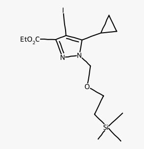 CCOC(=O)c1nn(COCC[Si](C)(C)C)c(C2CC2)c1I